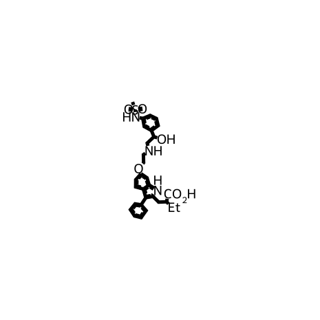 CCC(Cc1[nH]c2cc(OCCNCC(O)c3cccc(NS(C)(=O)=O)c3)ccc2c1-c1ccccc1)C(=O)O